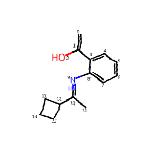 C=C(O)c1ccccc1/N=C(\C)C1CCC1